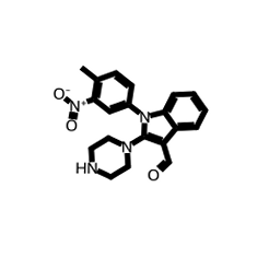 Cc1ccc(-n2c(N3CCNCC3)c(C=O)c3ccccc32)cc1[N+](=O)[O-]